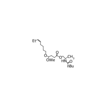 CC/C=C\CCCCOC(CCC(=O)OCC(C)NC(=O)CCCC)OC